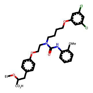 CCOC(Cc1ccc(OCCN(CCCCOc2cc(Cl)cc(Cl)c2)C(=O)Nc2ccccc2OC)cc1)C(=O)O